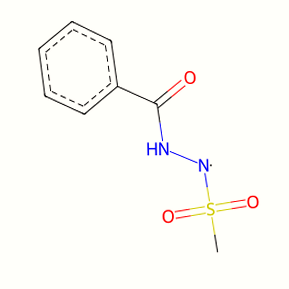 CS(=O)(=O)[N]NC(=O)c1ccccc1